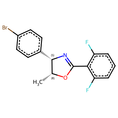 C[C@H]1OC(c2c(F)cccc2F)=N[C@H]1c1ccc(Br)cc1